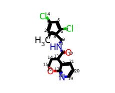 Cc1cc(Cl)cc(Cl)c1CNC(=O)C1CCOc2ncccc21